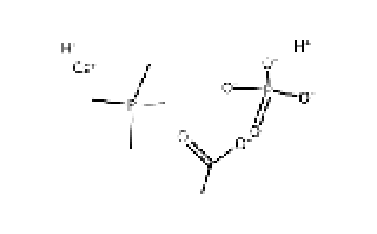 CC(=O)[O-].C[P+](C)(C)C.O=P([O-])([O-])[O-].[Cs+].[H+].[H+]